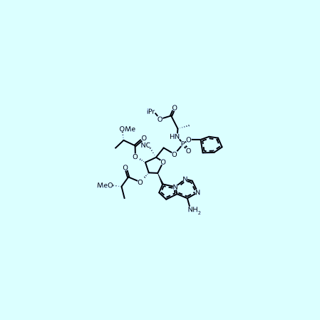 CO[C@@H](C)C(=O)O[C@H]1[C@H](c2ccc3c(N)ncnn23)O[C@](C#N)(COP(=O)(N[C@@H](C)C(=O)OC(C)C)Oc2ccccc2)[C@H]1OC(=O)[C@H](C)OC